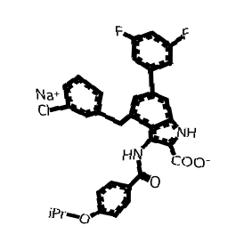 CC(C)Oc1ccc(C(=O)Nc2c(C(=O)[O-])[nH]c3cc(-c4cc(F)cc(F)c4)cc(Cc4cccc(Cl)c4)c23)cc1.[Na+]